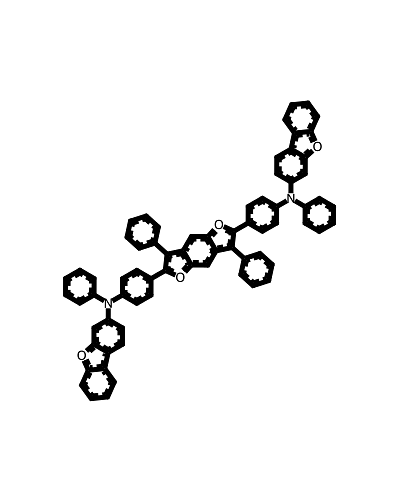 c1ccc(-c2c(-c3ccc(N(c4ccccc4)c4ccc5c(c4)oc4ccccc45)cc3)oc3cc4c(-c5ccccc5)c(-c5ccc(N(c6ccccc6)c6ccc7c(c6)oc6ccccc67)cc5)oc4cc23)cc1